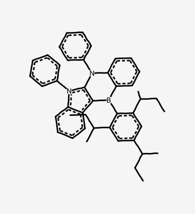 CCC(C)c1cc(C(C)CC)c(B2c3ccccc3N(c3ccccc3)c3c2c2ccccc2n3-c2ccccc2)c(C(C)CC)c1